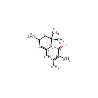 CC=C(C)C(=O)[C@@H]1C(C)=CC(OC(C)=O)CC1(C)C